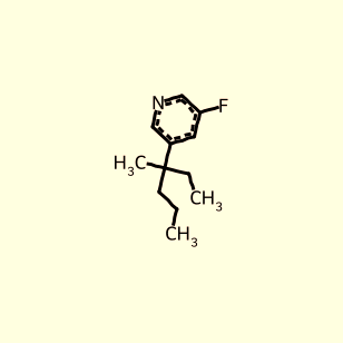 CCCC(C)(CC)c1cncc(F)c1